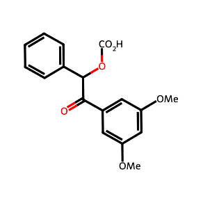 COc1cc(OC)cc(C(=O)C(OC(=O)O)c2ccccc2)c1